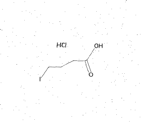 Cl.O=C(O)CCCI